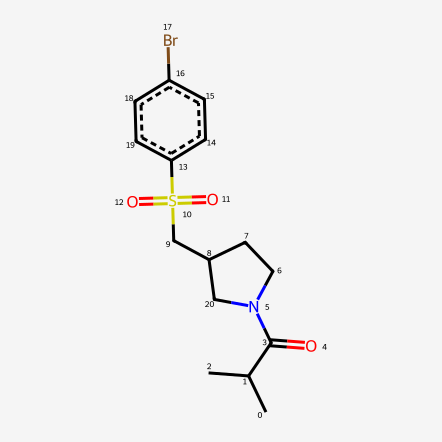 CC(C)C(=O)N1CCC(CS(=O)(=O)c2ccc(Br)cc2)C1